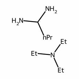 CCCC(N)N.CCN(CC)CC